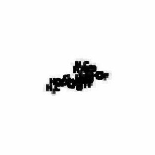 C[C@@H](O)COc1ccc(C(=O)NCC(O)(c2cc3c(c(-c4ccc(F)cc4)n2)OC[C@@]3(C)N)C(F)(F)F)cc1Cl